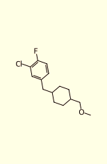 COCC1CCC(Cc2ccc(F)c(Cl)c2)CC1